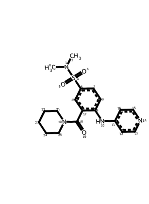 CN(C)S(=O)(=O)c1ccc(Nc2ccncc2)c(C(=O)N2CCCCC2)c1